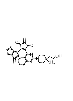 NC1(CCO)CCN(c2nc(C3=C(c4c[nH]c5ccsc45)C(=O)NC3=O)c3ccccc3n2)CC1